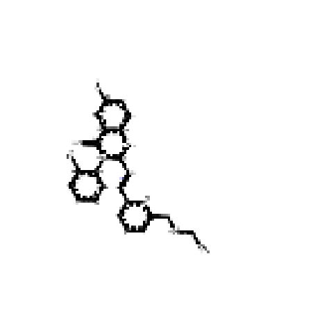 CCNCc1cccc(/C=C/c2nc3ccc(F)cc3c(=O)n2-c2ccccc2Cl)n1